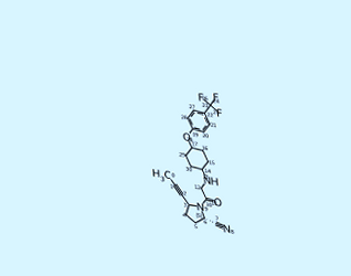 CC#CC1CC[C@@H](C#N)N1C(=O)CNC1CCC(Oc2ccc(C(F)(F)F)cc2)CC1